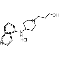 Cl.OCCCN1CCC(Nc2cccc3cnccc23)CC1